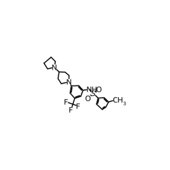 Cc1cccc(S(=O)(=O)Nc2cc(N3CCC(N4CCCC4)CC3)cc(C(F)(F)F)c2)c1